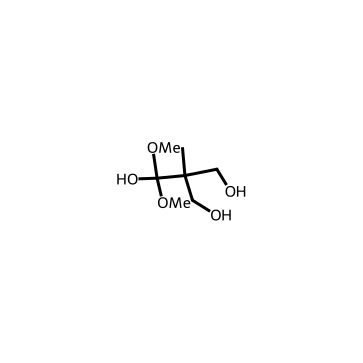 COC(O)(OC)C(C)(CO)CO